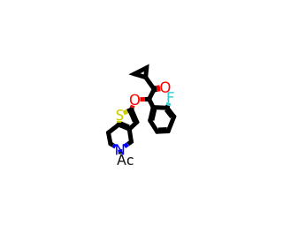 CC(=O)N1CCc2sc(OC(C(=O)C3CC3)c3ccccc3F)cc2C1